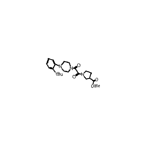 COC(=O)C1CCN(C(=O)C(=O)N2CCN(c3ccccc3C(C)(C)C)CC2)C1